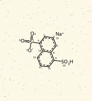 O=S(=O)([O-])c1cccc2c(S(=O)(=O)O)cccc12.[Na+]